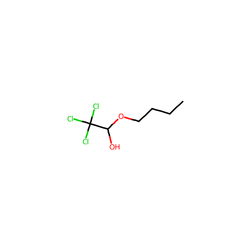 CCCCOC(O)C(Cl)(Cl)Cl